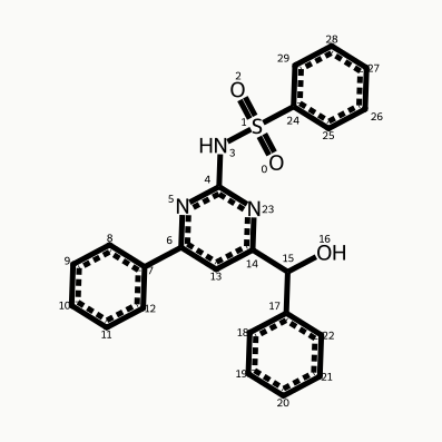 O=S(=O)(Nc1nc(-c2ccccc2)cc(C(O)c2ccccc2)n1)c1ccccc1